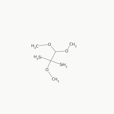 COC(OC)C([SiH3])([SiH3])OC